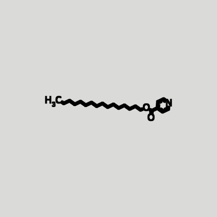 CCCCCCCCCCCCCCCCOC(=O)c1ccncc1